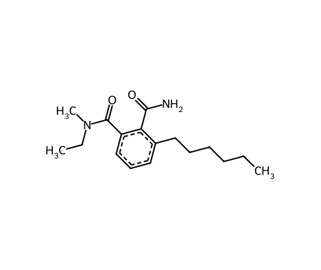 CCCCCCc1cccc(C(=O)N(C)CC)c1C(N)=O